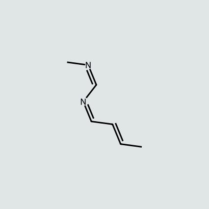 C/C=C/C=N\C=N/C